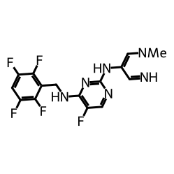 CN/C=C(\C=N)Nc1ncc(F)c(NCc2c(F)c(F)cc(F)c2F)n1